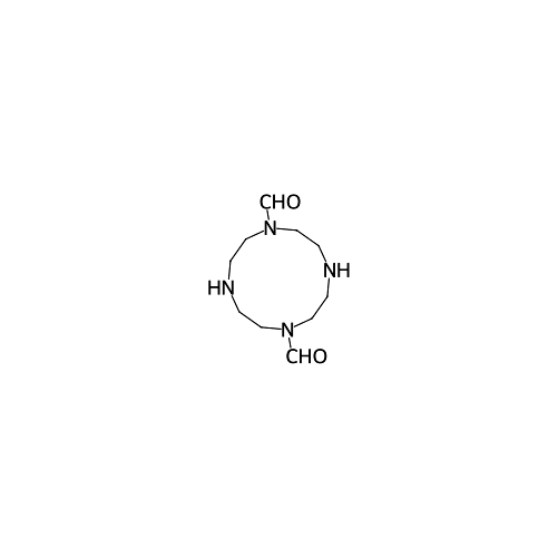 O=CN1CCNCCN(C=O)CCNCC1